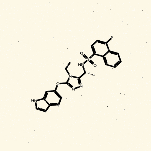 CCn1c(Oc2ccc3cc[nH]c3c2)nnc1[C@@H](C)NS(=O)(=O)c1ccc(F)c2ccccc12